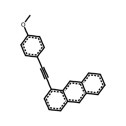 COc1ccc(C#Cc2cccc3cc4ccccc4cc23)cc1